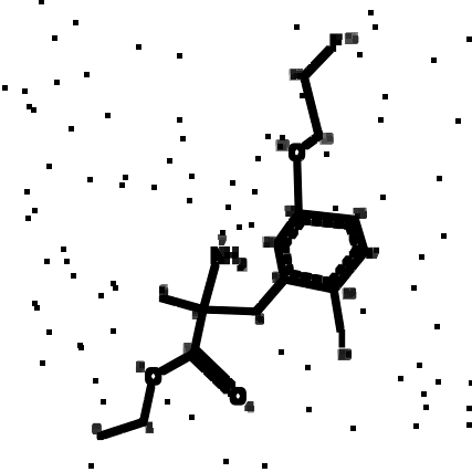 CCOC(=O)C(C)(N)Cc1cc(OCCF)ccc1I